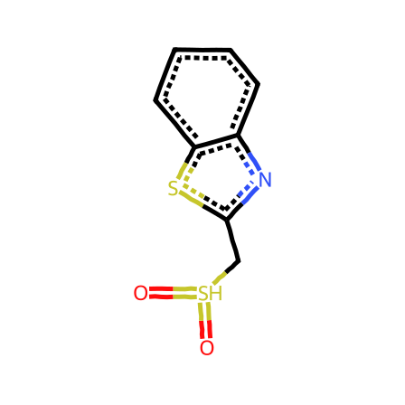 O=[SH](=O)Cc1nc2ccccc2s1